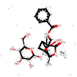 C[C@]12C[C@@H](O)C3C[C@@]1(O[C@@H]1O[C@H](CO)[C@@H](O)[C@H](O)[C@H]1O)C3(COC(=O)c1ccccc1)C(=O)O2.[Cl-].[Na+]